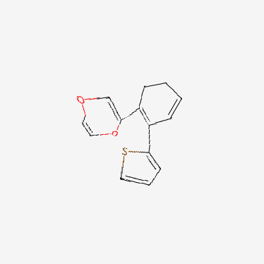 C1=CC(c2cccs2)=C(C2=COC=CO2)CC1